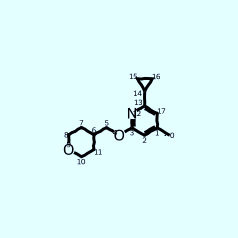 [CH2]c1cc(OCC2CCOCC2)nc(C2CC2)c1